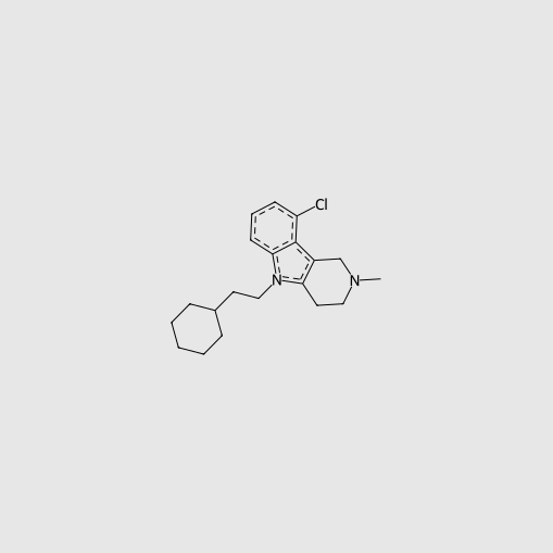 CN1CCc2c(c3c(Cl)cccc3n2CCC2CCCCC2)C1